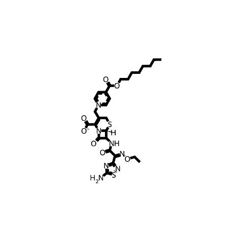 CCCCCCCCOC(=O)c1cc[n+](CC2=C(C(=O)[O-])N3C(=O)C(NC(=O)C(=NOCC)c4nsc(N)n4)[C@@H]3SC2)cc1